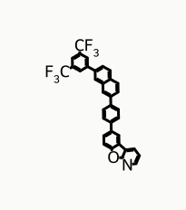 FC(F)(F)c1cc(-c2ccc3ccc(-c4ccc(-c5ccc6oc7ncccc7c6c5)cc4)cc3c2)cc(C(F)(F)F)c1